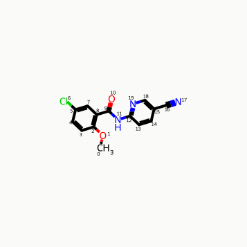 COc1ccc(Cl)cc1C(=O)Nc1ccc(C#N)cn1